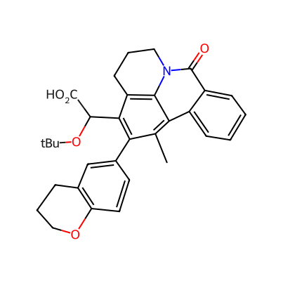 Cc1c(-c2ccc3c(c2)CCCO3)c(C(OC(C)(C)C)C(=O)O)c2c3c1c1ccccc1c(=O)n3CCC2